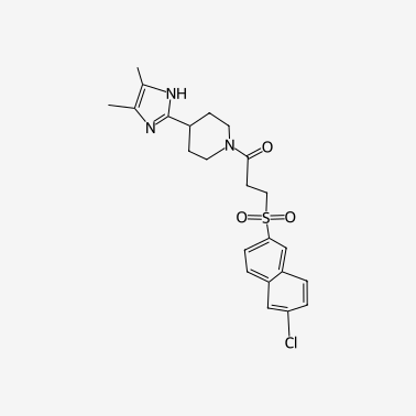 Cc1nc(C2CCN(C(=O)CCS(=O)(=O)c3ccc4cc(Cl)ccc4c3)CC2)[nH]c1C